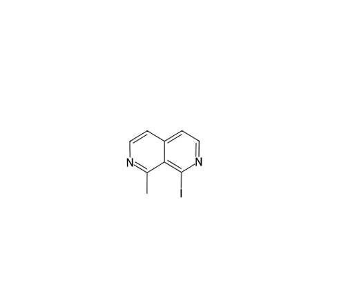 Cc1nccc2ccnc(I)c12